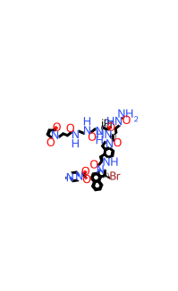 CC(C)[C@H](NCC(=O)NCCNC(=O)CCCN1C(=O)C=CC1=O)C(=O)N[C@@H](CCCNC(N)=O)C(=O)N1CCC2=C1C=CC1NC(C(=O)N3C[C@@H](CBr)c4c3cc(OC(=O)N3CCN(C)CC3)c3ccccc43)=CC21